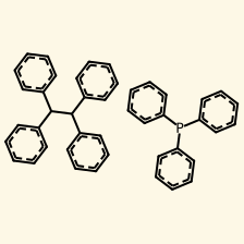 c1ccc(C(c2ccccc2)C(c2ccccc2)c2ccccc2)cc1.c1ccc(P(c2ccccc2)c2ccccc2)cc1